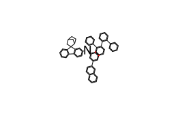 c1ccc(-c2ccccc2-c2ccccc2-c2ccccc2N(c2cccc(-c3ccc4ccccc4c3)c2)c2ccc3c(c2)C2(CC4CCC2C4)c2ccccc2-3)cc1